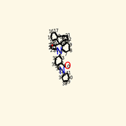 O=C1c2cc(N3c4ccccc4C4(c5ccccc5-c5ccccc54)c4ccccc43)ccc2CN1c1ccccc1